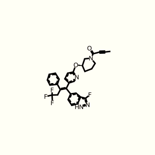 CC#CC(=O)N1CCC[C@@H](Oc2ccc(/C(=C(/CC(F)(F)F)c3ccccc3)c3ccc4[nH]nc(F)c4c3)cn2)C1